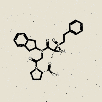 C[C@@]1(C(=O)N(CC(=O)N2CCC[C@H]2C(=O)O)C2Cc3ccccc3C2)NP1(=O)CCc1ccccc1